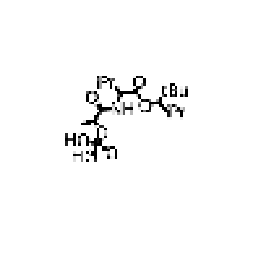 CC(OP(=O)(O)O)C(=O)NC(C(=O)OC(C(C)C)C(C)(C)C)C(C)C